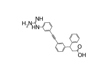 N=C(N)Nc1cccc(C#Cc2cccc(C(CC(=O)O)c3ccccc3)c2)c1